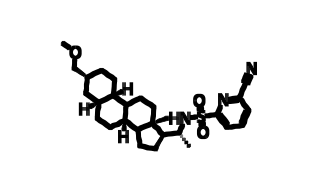 COC[C@H]1CC[C@@H]2C3CC[C@@]4(C)C(CC[C@@H]4[C@@H](C)NS(=O)(=O)c4cccc(C#N)n4)[C@@H]3CC[C@@H]2C1